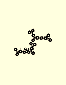 CC1(C)c2cc(-c3ccc4c(c3)c3ccccc3n4-c3ccccc3)ccc2-c2ccc(N(c3ccccc3)c3ccc(-n4c5ccccc5c5c(-c6ccc(N(c7ccc(-c8ccc(-c9ccc%10c(c9)c9ccccc9n%10-c9ccccc9)cc8)cc7)c7ccc(-n8c9ccccc9c9ccccc98)cc7)cc6)cccc54)cc3)cc21